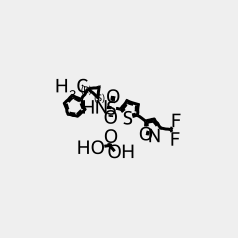 C[C@]1(c2ccccc2)C[C@@H]1NS(=O)(=O)c1ccc(-c2cc(C(F)F)no2)s1.O=C(O)O